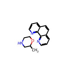 CC1CNCCO1.c1cnc2c(c1)ccc1cccnc12